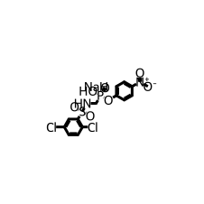 O=[N+]([O-])c1ccc(OP(=O)(O)CNS(=O)(=O)c2cc(Cl)ccc2Cl)cc1.[NaH]